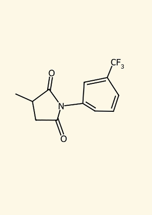 CC1CC(=O)N(c2cccc(C(F)(F)F)c2)C1=O